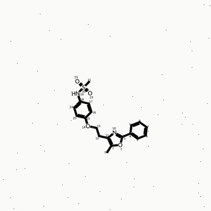 Cc1oc(-c2ccccc2)nc1CCOc1ccc(NS(C)(=O)=O)cc1